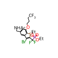 CCOP(=O)(OCC)C(F)(F)c1sc2c(OCCCC(F)(F)F)cc(CNC(C)=O)cc2c1Br